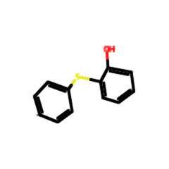 Oc1ccccc1Sc1cc[c]cc1